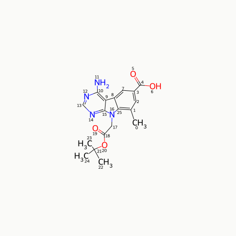 Cc1cc(C(=O)O)cc2c3c(N)ncnc3n(CC(=O)OC(C)(C)C)c12